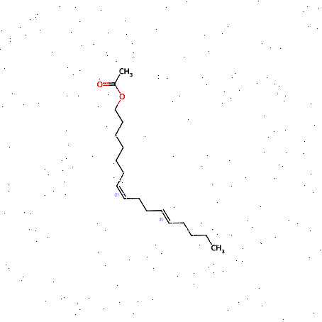 CCCC/C=C/CC/C=C\CCCCCCOC(C)=O